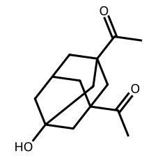 CC(=O)C12CC3CC(O)(C1)CC(C(C)=O)(C3)C2